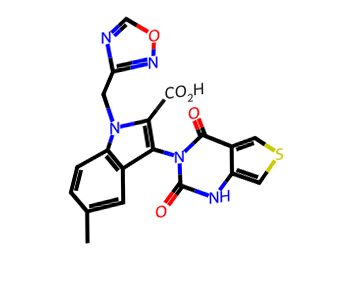 Cc1ccc2c(c1)c(-n1c(=O)[nH]c3cscc3c1=O)c(C(=O)O)n2Cc1ncon1